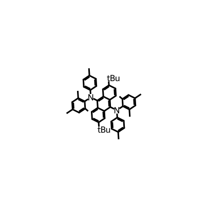 Cc1ccc(N(c2c(C)cc(C)cc2C)c2c3ccc(C(C)(C)C)cc3c(N(c3ccc(C)cc3)c3c(C)cc(C)cc3C)c3ccc(C(C)(C)C)cc23)cc1